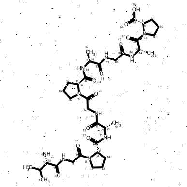 CC(C)[C@H](N)C(=O)NCC(=O)N1CCC[C@H]1C(=O)N[C@@H](C)C(=O)NCC(=O)N1CCC[C@H]1C(=O)N[C@@H](C)C(=O)NCC(=O)N[C@@H](C)C(=O)N1CCC[C@H]1C(=O)O